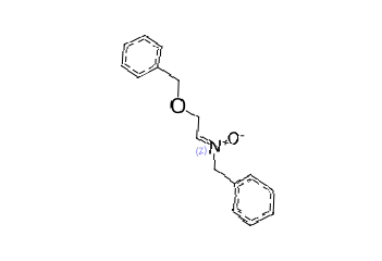 [O-]/[N+](=C\COCc1ccccc1)Cc1ccccc1